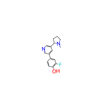 CN1CCCC1c1cncc(-c2ccc(O)c(F)c2)c1